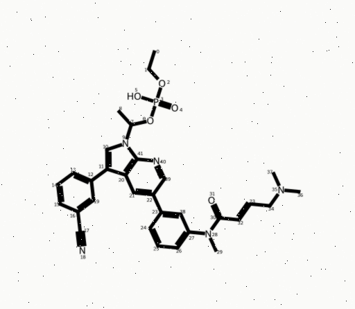 CCOP(=O)(O)OC(C)n1cc(-c2cccc(C#N)c2)c2cc(-c3cccc(N(C)C(=O)C=CCN(C)C)c3)cnc21